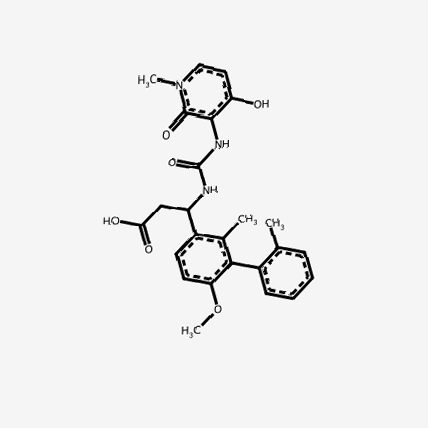 COc1ccc(C(CC(=O)O)NC(=O)Nc2c(O)ccn(C)c2=O)c(C)c1-c1ccccc1C